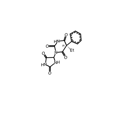 CC[C@@]1(c2ccccc2)C(=O)NC(=O)N(C2NC(=O)NC2=O)C1=O